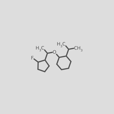 CC(C)C1CCCCC1OC(C)C1CCCC1F